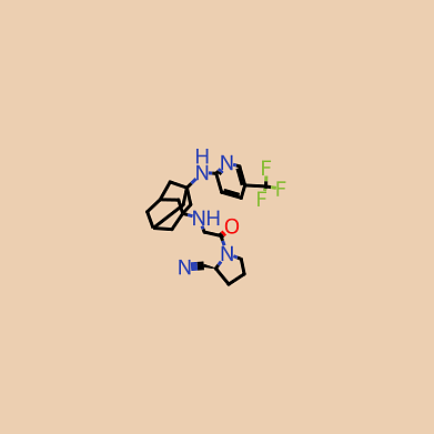 N#C[C@@H]1CCCN1C(=O)CNC12CC3CC(C1)CC(Nc1ccc(C(F)(F)F)cn1)(C3)C2